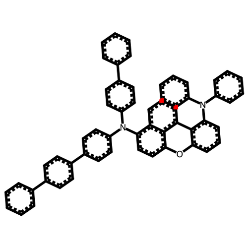 c1ccc(-c2ccc(-c3ccc(N(c4ccc(-c5ccccc5)cc4)c4ccc5c6c(cccc46)-c4c(cccc4N(c4ccccc4)c4ccccc4)O5)cc3)cc2)cc1